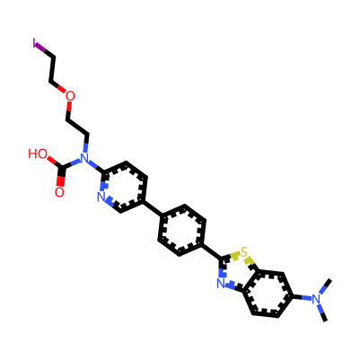 CN(C)c1ccc2nc(-c3ccc(-c4ccc(N(CCOCCI)C(=O)O)nc4)cc3)sc2c1